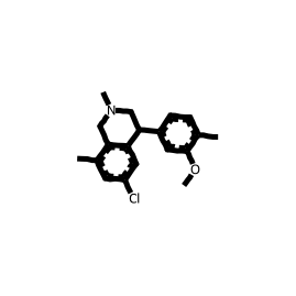 COc1cc(C2CN(C)Cc3c(C)cc(Cl)cc32)ccc1C